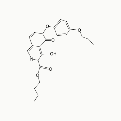 CCCCOC(=O)C1[N]C=C2C=CC(Oc3ccc(OCCC)cc3)C(=O)C2=C1O